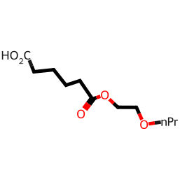 CCCOCCOC(=O)CCCCC(=O)O